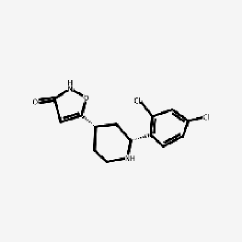 O=c1cc([C@H]2CCN[C@@H](c3ccc(Cl)cc3Cl)C2)o[nH]1